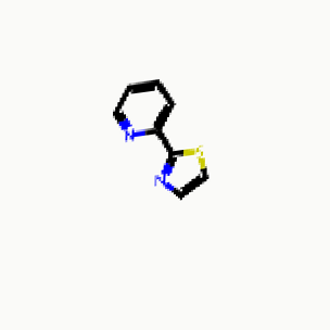 [c]1csc(-c2ccccn2)n1